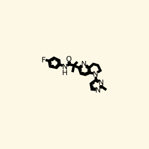 Cc1nccc(N2CCCc3nc(C(C)(C)C(=O)Nc4ccc(F)cc4)ccc32)n1